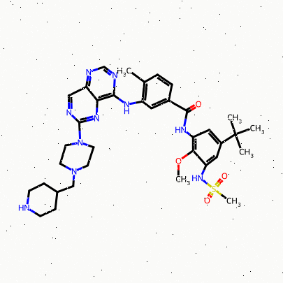 COc1c(NC(=O)c2ccc(C)c(Nc3ncnc4cnc(N5CCN(CC6CCNCC6)CC5)nc34)c2)cc(C(C)(C)C)cc1NS(C)(=O)=O